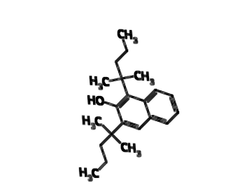 CCCC(C)(C)c1cc2ccccc2c(C(C)(C)CCC)c1O